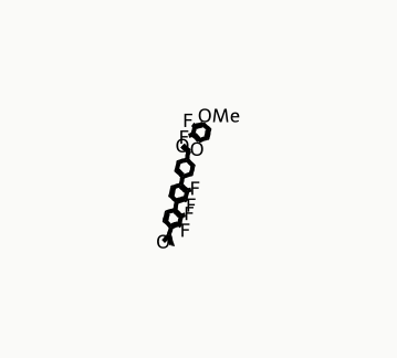 COc1ccc(OC(=O)C2CC=C(c3ccc(-c4ccc(C5CO5)c(F)c4F)c(F)c3F)CC2)c(F)c1F